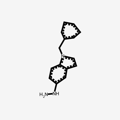 NNc1ccc2c(ccn2Cc2ccccc2)c1